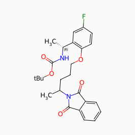 CC(CCCOc1ccc(F)cc1[C@@H](C)NC(=O)OC(C)(C)C)N1C(=O)c2ccccc2C1=O